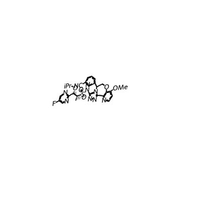 COc1ccnc2c1OCC(c1cccc(C#N)c1)n1c(NS(=O)(=O)[C@@H](C)[C@@H](OC(C)C)c3ncc(F)cn3)nnc1-2